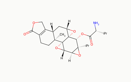 CC(C)[C@@H](N)C(=O)O[C@@H]1[C@@]2(C(C)C)O[C@H]2[C@@H]2O[C@]23[C@]12O[C@H]2C[C@H]1C2=C(CC[C@@]13C)C(=O)OC2